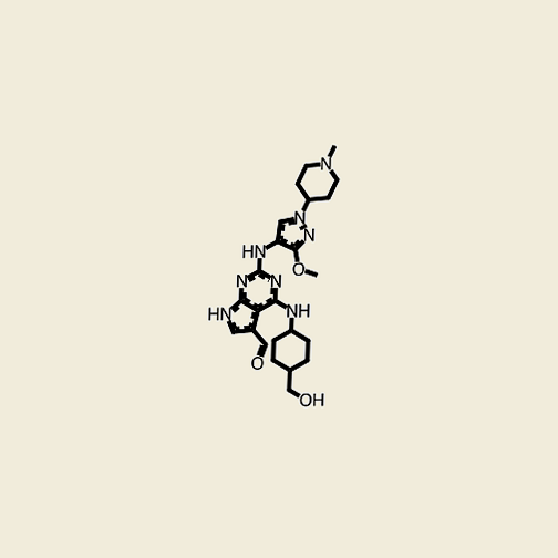 COc1nn(C2CCN(C)CC2)cc1Nc1nc(NC2CCC(CO)CC2)c2c(C=O)c[nH]c2n1